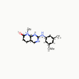 CCCn1c(=O)ccc2cnc(Nc3cc(OC)cc(C(F)(F)F)c3)nc21